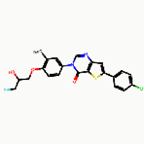 COc1cc(-n2cnc3cc(-c4ccc(Cl)cc4)sc3c2=O)ccc1OCC(O)CF